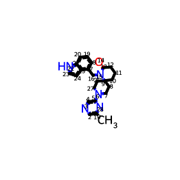 Cc1cncc(N2CCC3(CCCC(=O)N3Cc3cccc4[nH]ccc34)CC2)n1